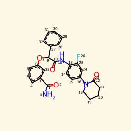 NC(=O)c1cccc(OC(C(=O)Nc2ccc(N3CCCCC3=O)cc2F)c2ccccc2)c1